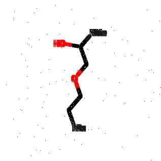 CCCCCCOCC(O)NC